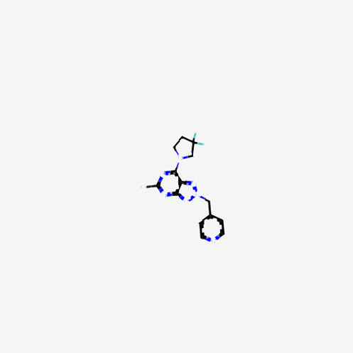 CC(C)(C)c1nc(N2CCC(F)(F)C2)c2nn(Cc3ccncc3)nc2n1